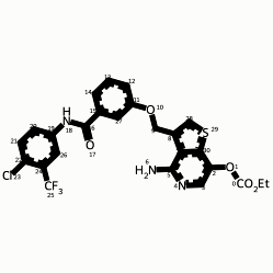 CCOC(=O)Oc1cnc(N)c2c(COc3cccc(C(=O)Nc4ccc(Cl)c(C(F)(F)F)c4)c3)csc12